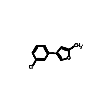 [CH2]c1cc(-c2cccc(Cl)c2)co1